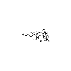 O=C1NC(=O)[C@]2(CC[C@](O)([C@H]3Cc4ccc(O)cc4CCCN3CC3CC3)CC2)N1CC(F)(F)F